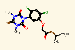 CCOC(=O)C(C)SC(=O)COc1cc(-n2c(=O)n(C)c(=S)n(C)c2=O)c(F)cc1Cl